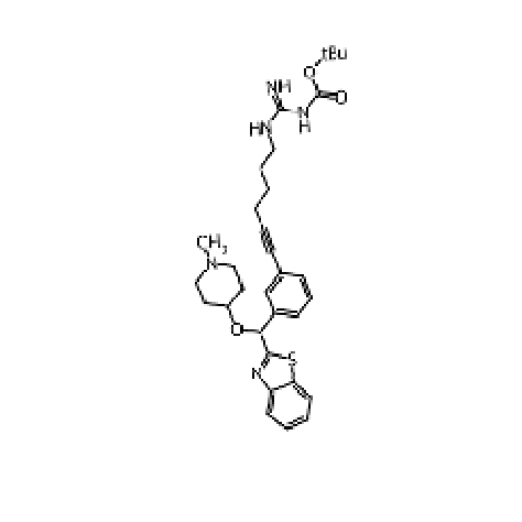 CN1CCC(OC(c2cccc(C#CCCCCNC(=N)NC(=O)OC(C)(C)C)c2)c2nc3ccccc3s2)CC1